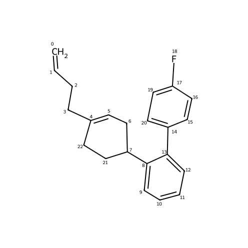 C=CCCC1=CCC(c2ccccc2-c2ccc(F)cc2)CC1